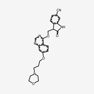 N#Cc1ccc2c(c1)NC(=O)C2COc1ncnc2cc(OCCCN3CCOCC3)ccc12